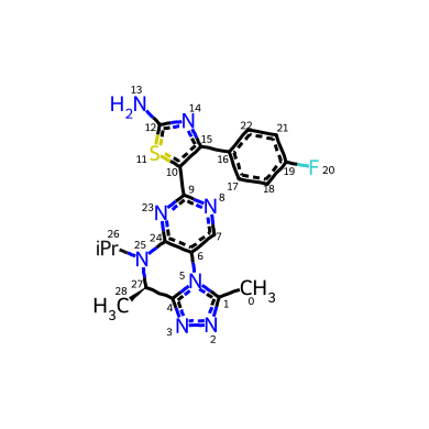 Cc1nnc2n1-c1cnc(-c3sc(N)nc3-c3ccc(F)cc3)nc1N(C(C)C)[C@@H]2C